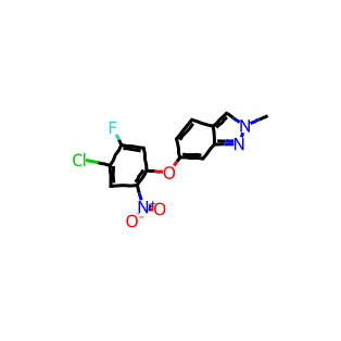 Cn1cc2ccc(Oc3cc(F)c(Cl)cc3[N+](=O)[O-])cc2n1